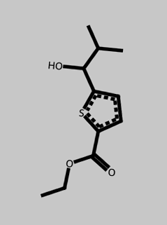 CCOC(=O)c1ccc(C(O)C(C)C)s1